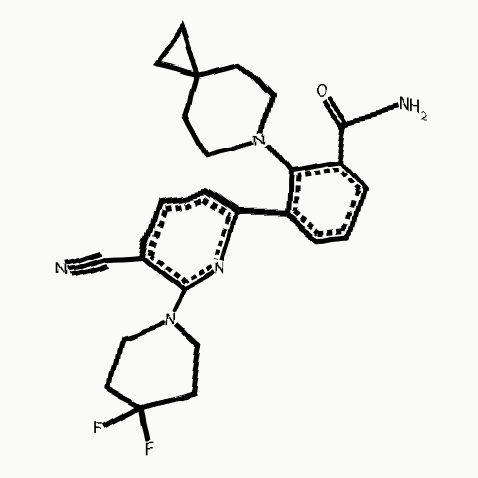 N#Cc1ccc(-c2cccc(C(N)=O)c2N2CCC3(CC2)CC3)nc1N1CCC(F)(F)CC1